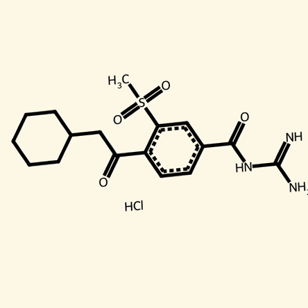 CS(=O)(=O)c1cc(C(=O)NC(=N)N)ccc1C(=O)CC1CCCCC1.Cl